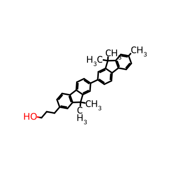 Cc1ccc2c(c1)C(C)(C)c1cc(-c3ccc4c(c3)C(C)(C)c3cc(CCCO)ccc3-4)ccc1-2